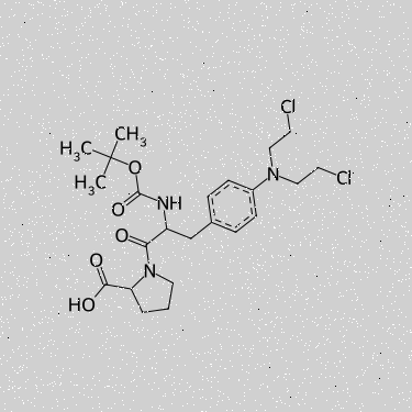 CC(C)(C)OC(=O)NC(Cc1ccc(N(CCCl)CCCl)cc1)C(=O)N1CCCC1C(=O)O